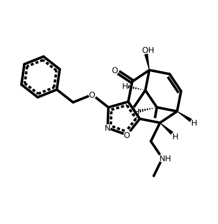 CNC[C@@H]1c2onc(OCc3ccccc3)c2C(=O)[C@]2(O)C=C[C@H]1[C@@H](C)[C@H]2C